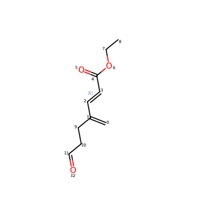 C=C(/C=C/C(=O)OCC)CCC=O